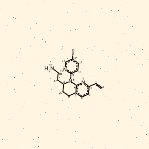 C=Cc1ccc2c(n1)N(c1ccc(C)cn1)C(CCN)CC2